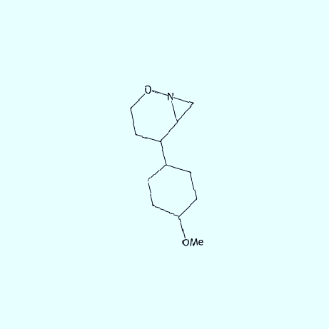 COC1CCC(C2CCON3CC23)CC1